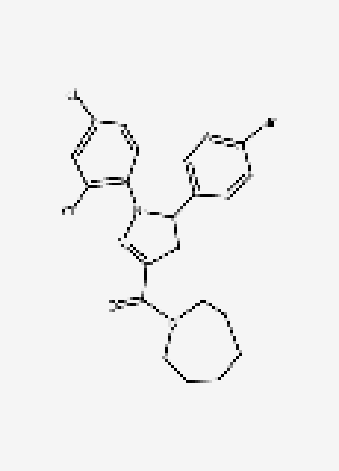 O=C(C1=NN(c2ccc(Cl)cc2Cl)C(c2ccc(Br)cc2)C1)N1CCCCCC1